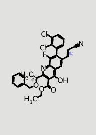 CCOC(=O)c1c([C@@H](C)OCc2ccccc2)nc2c(F)c(-c3cccc(Cl)c3Cl)c(/C=C/C#N)cc2c1O